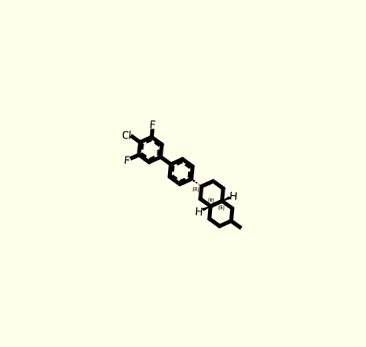 CC1CC[C@@H]2C[C@H](c3ccc(-c4cc(F)c(Cl)c(F)c4)cc3)CC[C@@H]2C1